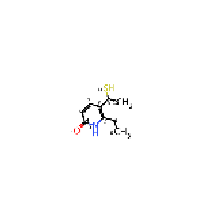 CCc1[nH]c(=O)ccc1C(C)S